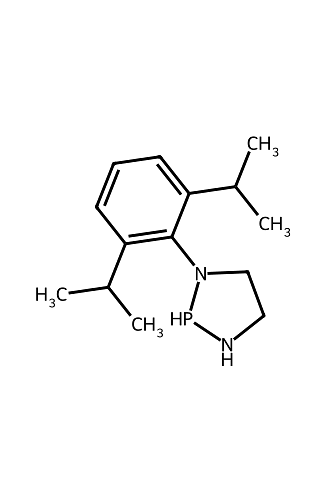 CC(C)c1cccc(C(C)C)c1N1CCNP1